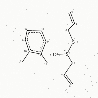 C=CCS[S+]([O-])CC=C.Cc1ccccc1C